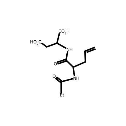 C=CCC(NC(=O)CC)C(=O)NC(CC(=O)O)C(=O)O